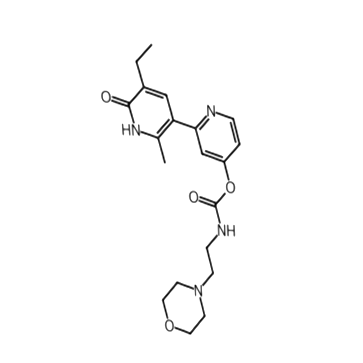 CCc1cc(-c2cc(OC(=O)NCCN3CCOCC3)ccn2)c(C)[nH]c1=O